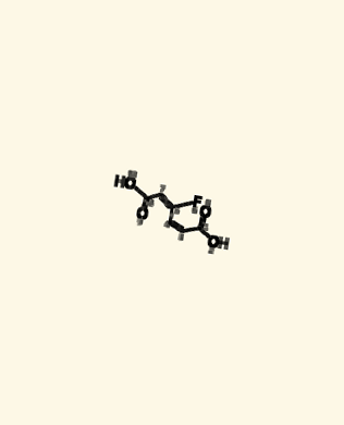 O=C(O)/C=C\C(F)=C/C(=O)O